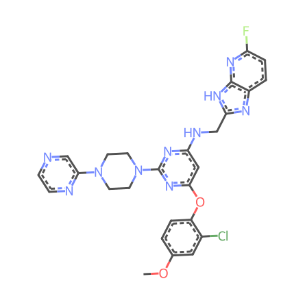 COc1ccc(Oc2cc(NCc3nc4ccc(F)nc4[nH]3)nc(N3CCN(c4cnccn4)CC3)n2)c(Cl)c1